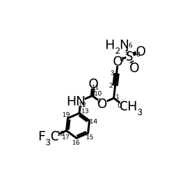 CC(C#COS(N)(=O)=O)OC(=O)Nc1cccc(C(F)(F)F)c1